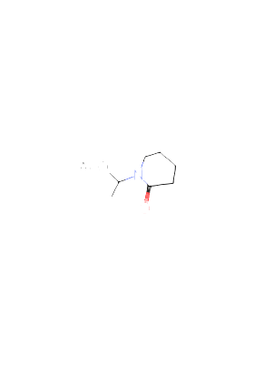 CC(=O)OC(C)N1CCCCC1=O